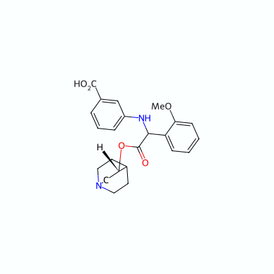 COc1ccccc1C(Nc1cccc(C(=O)O)c1)C(=O)O[C@H]1CN2CCC1CC2